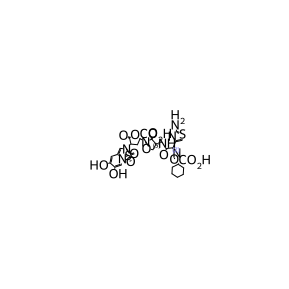 Nc1nc(/C(=N/OC2(C(=O)O)CCCCC2)C(=O)N[C@H]2CON(C3(C(=O)O)CC(N4C=C5C=C(O)C(O)=CN5S4(=O)=O)C(=O)O3)C2=O)cs1